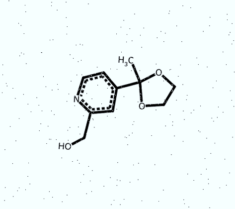 CC1(c2ccnc(CO)c2)OCCO1